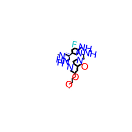 CN/C=C(\C=N)c1cc(F)c(=N)n(C(=N)Cn2ccc3ncc(OCCOC)cc3c2=O)c1